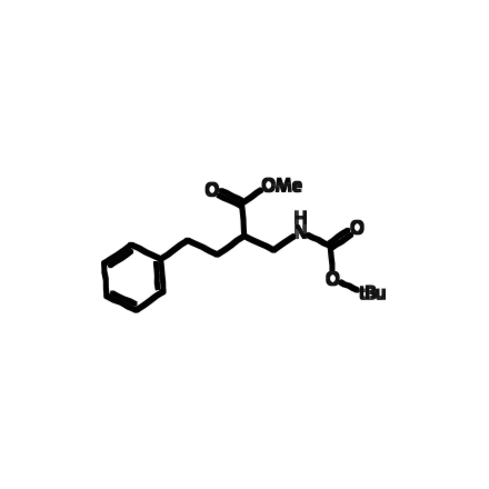 COC(=O)C(CCc1ccccc1)CNC(=O)OC(C)(C)C